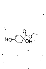 CCOC(=O)C1(O)C=CC(O)=CC1